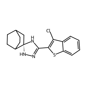 Clc1c(C2=NN[C@]3(CC4CCC3CC4)N2)sc2ccccc12